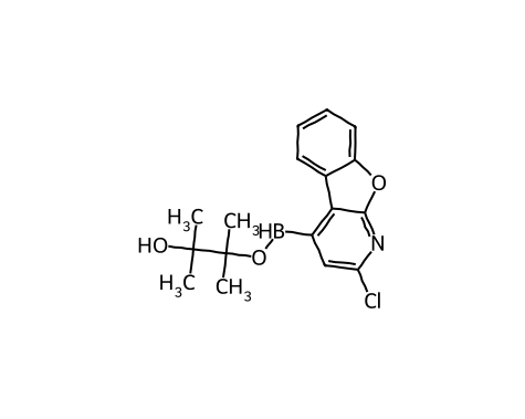 CC(C)(O)C(C)(C)OBc1cc(Cl)nc2oc3ccccc3c12